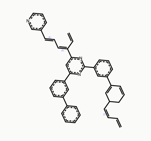 C=C/C=C\C1C=C(c2cccc(-c3nc(/C(C=C)=C/C=C/c4cccnc4)cc(-c4cccc(-c5ccccc5)c4)n3)c2)C=CC1